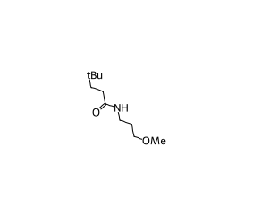 COCCCNC(=O)CCC(C)(C)C